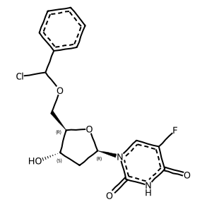 O=c1[nH]c(=O)n([C@H]2C[C@H](O)[C@@H](COC(Cl)c3ccccc3)O2)cc1F